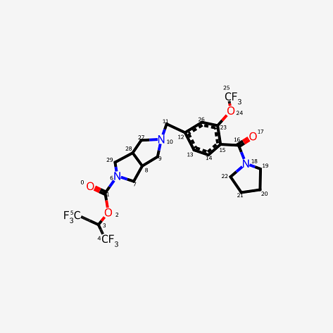 O=C(OC(C(F)(F)F)C(F)(F)F)N1CC2CN(Cc3ccc(C(=O)N4CCCC4)c(OC(F)(F)F)c3)CC2C1